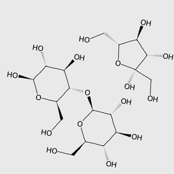 OC[C@H]1O[C@@H](O[C@H]2[C@H](O)[C@@H](O)[C@H](O)O[C@@H]2CO)[C@H](O)[C@@H](O)[C@@H]1O.OC[C@H]1O[C@](O)(CO)[C@@H](O)[C@@H]1O